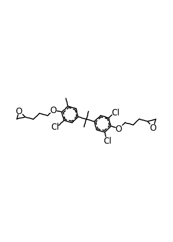 Cc1cc(C(C)(C)c2cc(Cl)c(OCCCC3CO3)c(Cl)c2)cc(Cl)c1OCCCC1CO1